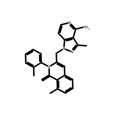 C=C1c2c(C)cccc2C=C(Cn2nc(C)c3c(N)nccc32)N1c1ccccc1C